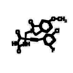 COc1ccc2c(c1)C(=O)N(C[C@@]1(C#Cc3cc(F)cc(Cl)c3)NC(=O)NC1=O)C2